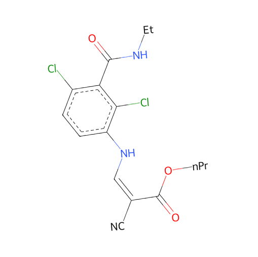 CCCOC(=O)C(C#N)=CNc1ccc(Cl)c(C(=O)NCC)c1Cl